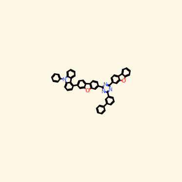 c1ccc(-c2cccc(-c3nc(-c4ccc5c(c4)oc4ccccc45)nc(-c4ccc5c(c4)oc4cc(-c6cccc7c6c6ccccc6n7-c6ccccc6)ccc45)n3)c2)cc1